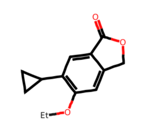 CCOc1cc2c(cc1C1CC1)C(=O)OC2